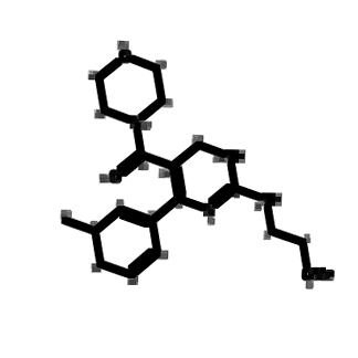 COCCNC1=NC(C2=CC(C)CC=C2)=C(C(=O)N2CCOCC2)CN1